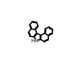 c1ccc2c(c1)ccc1[nH]c3ccc4ccccc4c3c12